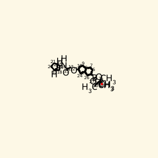 CC1(C)OB(c2ccc3ccc(OCC(=O)N[C@H]4C[C@@H]5CC[C@H]4C5)cc3c2)OC1(C)C